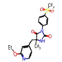 CCOc1cc(CC2(C)NC(=O)N(c3ccc(S(=O)(=O)C(F)(F)F)cc3)C2=O)ccn1